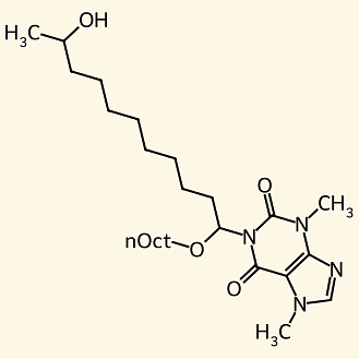 CCCCCCCCOC(CCCCCCCCC(C)O)n1c(=O)c2c(ncn2C)n(C)c1=O